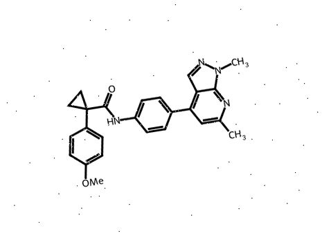 COc1ccc(C2(C(=O)Nc3ccc(-c4cc(C)nc5c4cnn5C)cc3)CC2)cc1